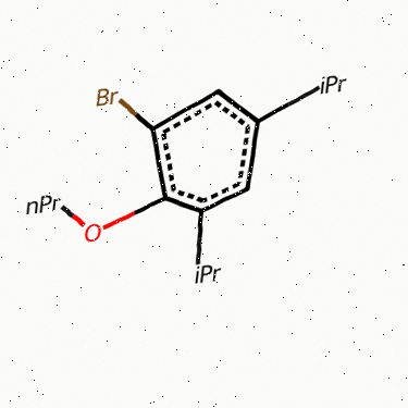 CCCOc1c(Br)cc(C(C)C)cc1C(C)C